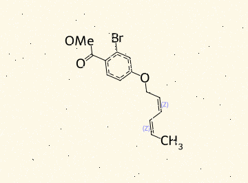 C/C=C\C=C/COc1ccc(C(=O)OC)c(Br)c1